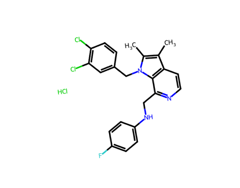 Cc1c(C)n(Cc2ccc(Cl)c(Cl)c2)c2c(CNc3ccc(F)cc3)nccc12.Cl